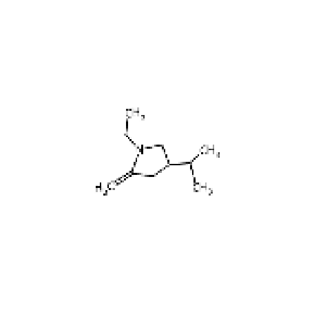 C=C1CC(C(C)C)CN1CC